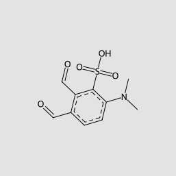 CN(C)c1ccc(C=O)c(C=O)c1S(=O)(=O)O